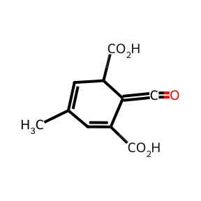 CC1=CC(C(=O)O)C(=C=O)C(C(=O)O)=C1